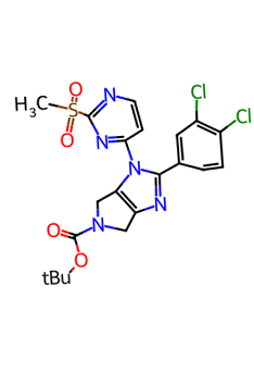 CC(C)(C)OC(=O)N1Cc2nc(-c3ccc(Cl)c(Cl)c3)n(-c3ccnc(S(C)(=O)=O)n3)c2C1